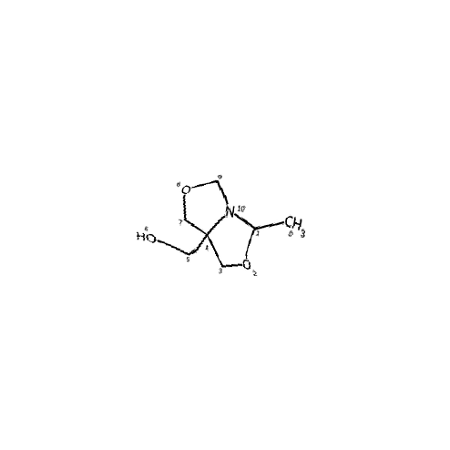 CC1OCC2(CO)COCN12